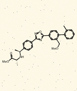 COCc1cc(-c2nc(-c3ccc([C@H](C)N[C@H](C)C(=O)OC)cc3)no2)ccc1-c1ccccc1C